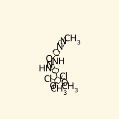 CCN1CCN(c2ccc(C(=O)Nc3n[nH]c4cc(-c5c(Cl)c(OC)cc(OC)c5Cl)ccc34)cc2)CC1